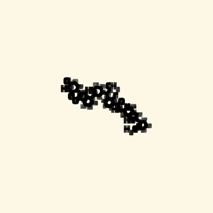 CCC(c1cccc(C(=O)Nc2cc3[nH]c([C@H]4CCCN4C)cc3cn2)c1F)C1CCNC(c2cccc3c2CN([C@@H]2CCC(=O)NC2=O)C3=O)C1